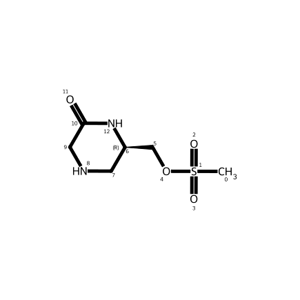 CS(=O)(=O)OC[C@H]1CNCC(=O)N1